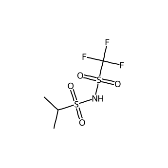 CC(C)S(=O)(=O)NS(=O)(=O)C(F)(F)F